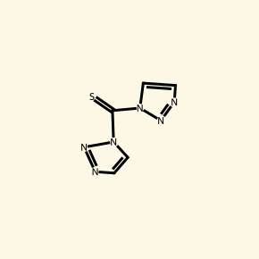 S=C(n1ccnn1)n1ccnn1